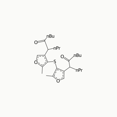 CCCCC(=O)C(CCC)c1coc(C)c1Sc1c(C(CCC)C(=O)CCCC)coc1C